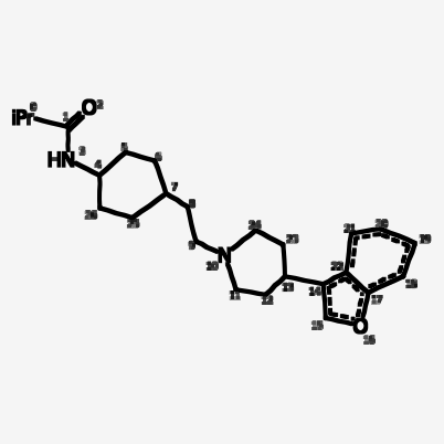 CC(C)C(=O)NC1CCC(CCN2CCC(c3coc4ccccc34)CC2)CC1